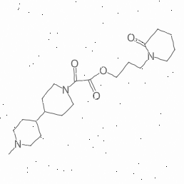 CN1CCC(C2CCN(C(=O)C(=O)OCCCN3CCCCC3=O)CC2)CC1